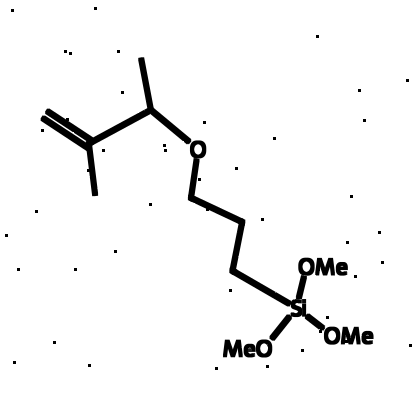 C=C(C)C(C)OCCC[Si](OC)(OC)OC